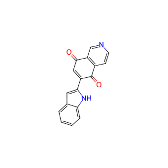 O=C1C=C(c2cc3ccccc3[nH]2)C(=O)c2ccncc21